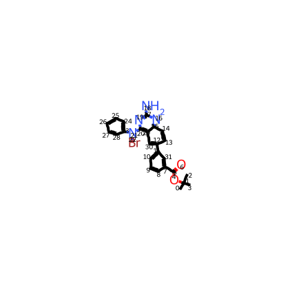 CC(C)(C)OC(=O)c1cccc(-c2ccc3nc(N)nc(N(Br)c4ccccc4)c3c2)c1